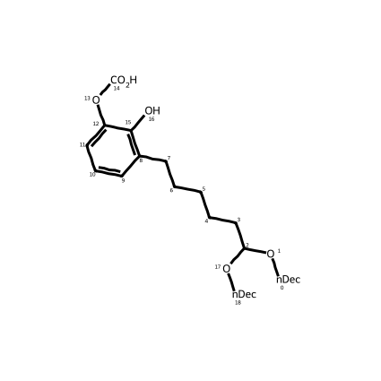 CCCCCCCCCCOC(CCCCCc1cccc(OC(=O)O)c1O)OCCCCCCCCCC